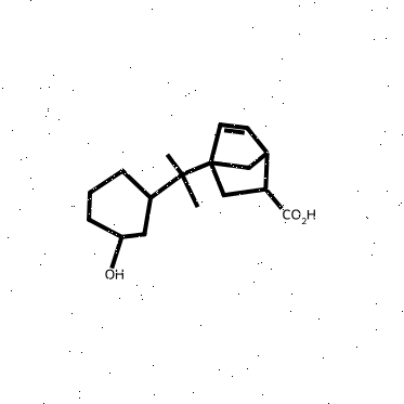 CC(C)(C1CCCC(O)C1)C12C=CC(C1)C(C(=O)O)C2